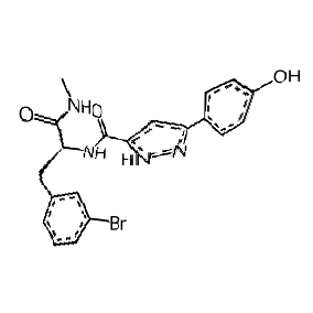 CNC(=O)[C@H](Cc1cccc(Br)c1)NC(=O)c1cc(-c2ccc(O)cc2)n[nH]1